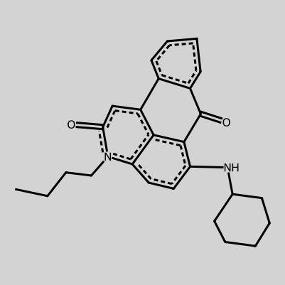 CCCCn1c(=O)cc2c3c(c(NC4CCCCC4)ccc31)C(=O)c1ccccc1-2